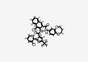 O=C(Nc1ccc2c(c1)OCCCO2)c1cc2ccccc2c(Cl)c1NC(=O)c1cc(C(F)(F)F)nn1-c1ncccc1Cl